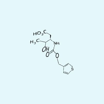 CC(O)[C@@H](CC(=O)O)NC(=O)OCc1ccccc1